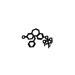 O=C1C=C2CCCc3cc(OS(=O)(=O)C(F)(F)F)ccc3C2(Cc2ccccc2)CC1